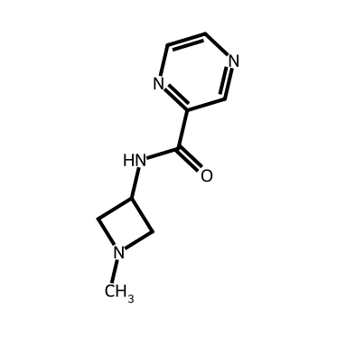 CN1CC(NC(=O)c2cnccn2)C1